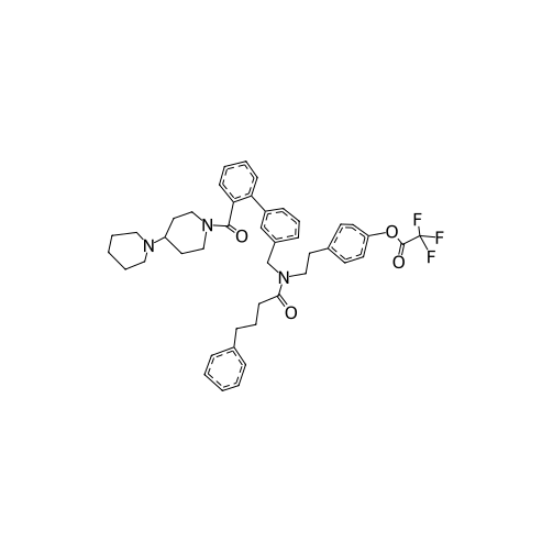 O=C(CCCc1ccccc1)N(CCc1ccc(OC(=O)C(F)(F)F)cc1)Cc1cccc(-c2ccccc2C(=O)N2CCC(N3CCCCC3)CC2)c1